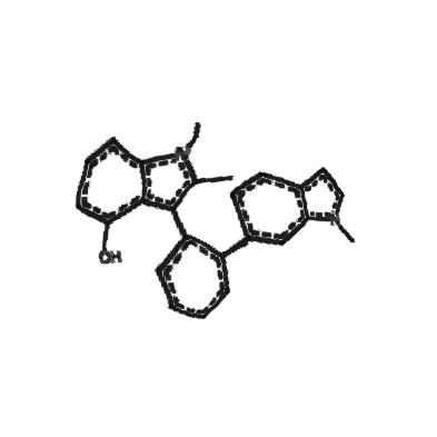 Cc1c(-c2ccccc2-c2ccc3ccn(C)c3c2)c2c(O)cccc2n1C